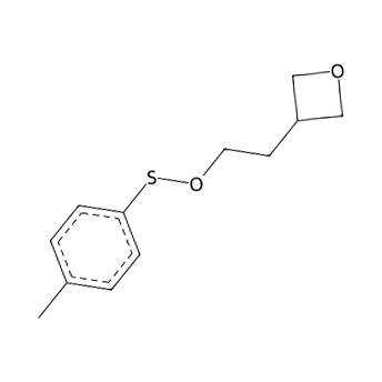 Cc1ccc(SOCCC2COC2)cc1